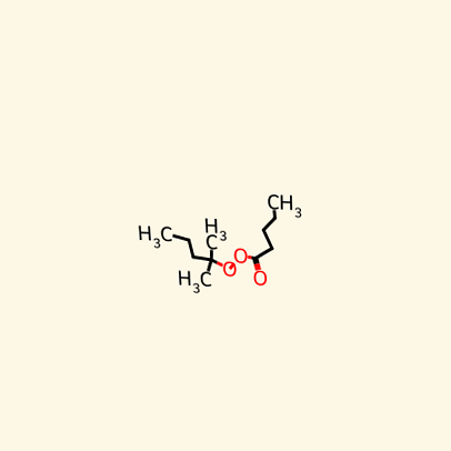 CCCCC(=O)OOC(C)(C)CCC